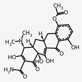 CC(=O)Oc1ccc(O)c2c1C[C@H]1C[C@H]3[C@H](N(C)C)C(O)=C(C(N)=O)C(=O)[C@@]3(O)C(O)=C1C2=O